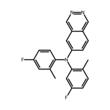 Cc1cc(F)ccc1N(c1ccc2cnncc2c1)c1cc(F)ccc1C